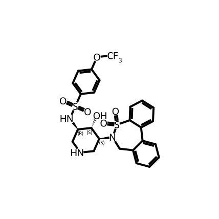 O=S(=O)(N[C@@H]1CNC[C@H](N2Cc3ccccc3-c3ccccc3S2(=O)=O)[C@H]1O)c1ccc(OC(F)(F)F)cc1